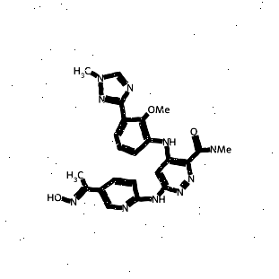 CNC(=O)c1nnc(Nc2ccc(C(C)=NO)cn2)cc1Nc1cccc(-c2ncn(C)n2)c1OC